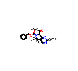 CCC1(C)c2cnc(SC)nc2C(C(=O)OC)N1C(=O)OCc1ccccc1